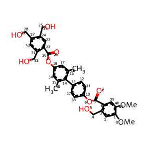 COc1cc(CO)c(C(=O)Oc2ccc(-c3c(C)cc(OC(=O)c4cc(CO)c(CO)cc4CO)cc3C)cc2)cc1OC